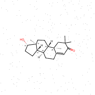 CC1(C)C[C@@]2(C)C(=CC1=O)CC[C@H]1[C@@H]3CC[C@H](O)[C@@]3(C)CC[C@@H]12